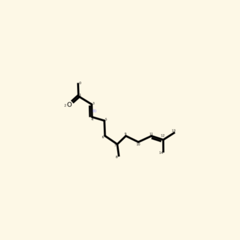 CC(=O)/C=C/CCC(C)CCC=C(C)C